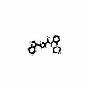 O=C(Nc1cnccc1N1CCNCC1)c1ccc(-c2c[nH]c3ccccc23)s1